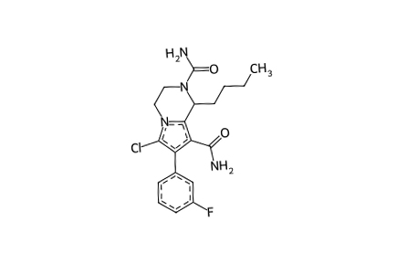 CCCCC1c2c(C(N)=O)c(-c3cccc(F)c3)c(Cl)n2CCN1C(N)=O